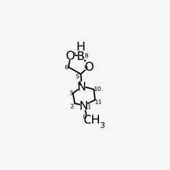 CN1CCN(C2COBO2)CC1